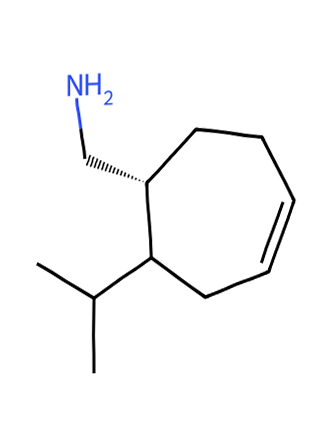 CC(C)C1CC=CCC[C@H]1CN